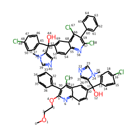 COCCOc1nc2ccc(C(O)(c3ccc(Cl)cc3)c3cncn3C)cc2c(Cl)c1-c1ccccc1.Cn1cncc1C(O)(c1ccc(Cl)cc1)c1ccc2nc(Cl)c(-c3ccccc3)c(Cl)c2c1